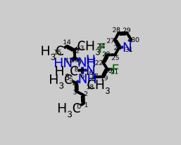 C/C=C\C=C(\C)NC(C)(NC(=N)/C(C)=C\C)NC(C)/C=C(F)\C=C(\F)Cc1ccccn1